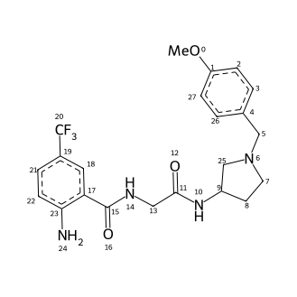 COc1ccc(CN2CCC(NC(=O)CNC(=O)c3cc(C(F)(F)F)ccc3N)C2)cc1